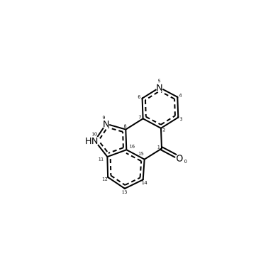 O=C1c2ccncc2-c2n[nH]c3cccc1c23